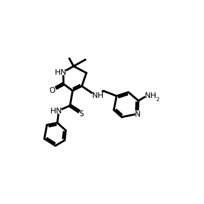 CC1(C)CC(NCc2ccnc(N)c2)=C(C(=S)Nc2ccccc2)C(=O)N1